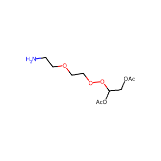 CC(=O)OCC(OOCCOCCN)OC(C)=O